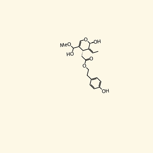 C/C=C1\[C@H](O)OC=C(C(O)OC)[C@H]1CC(=O)OCCc1ccc(O)cc1